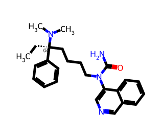 CC[C@](CCCCN(C(N)=O)c1cncc2ccccc12)(c1ccccc1)N(C)C